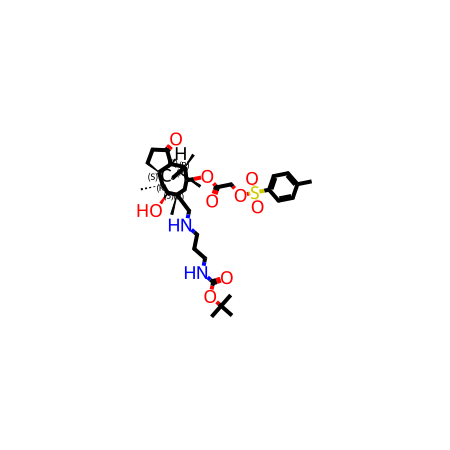 Cc1ccc(S(=O)(=O)OCC(=O)OC2C[C@](C)(CNCCCNC(=O)OC(C)(C)C)[C@@H](O)[C@H](C)[C@]34CCC(=O)[C@H]3[C@@]2(C)[C@H](C)CC4)cc1